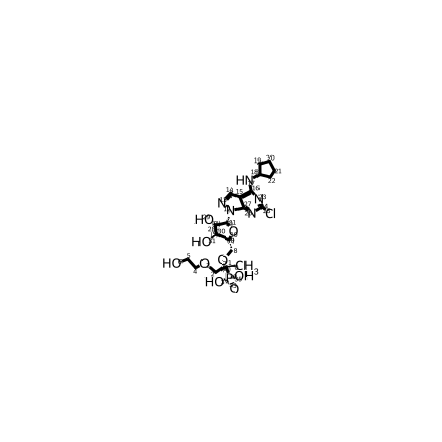 C[C@@](COCCO)(OC[C@H]1O[C@@H](n2ncc3c(NC4CCCC4)nc(Cl)nc32)[C@H](O)[C@@H]1O)P(=O)(O)O